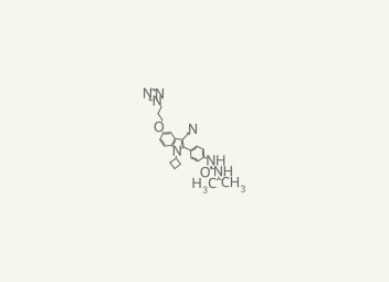 CC(C)NC(=O)Nc1ccc(-c2c(C#N)c3cc(OCCCn4cncn4)ccc3n2C2CCC2)cc1